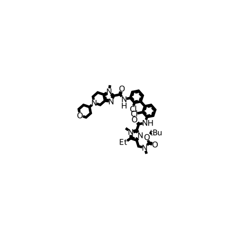 CCc1c(CN(C)C(=O)OC(C)(C)C)nc(C(=O)Nc2cccc(-c3cccc(NC(=O)c4nc5c(n4C)CCN(C4CCOCC4)C5)c3Cl)c2Cl)n1C